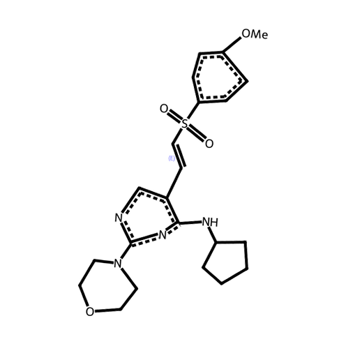 COc1ccc(S(=O)(=O)/C=C/c2cnc(N3CCOCC3)nc2NC2CCCC2)cc1